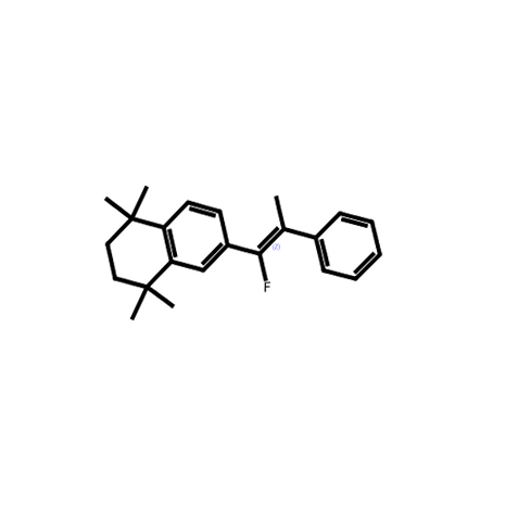 C/C(=C(/F)c1ccc2c(c1)C(C)(C)CCC2(C)C)c1ccccc1